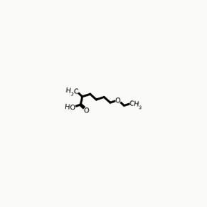 CCOCCCCC(C)C(=O)O